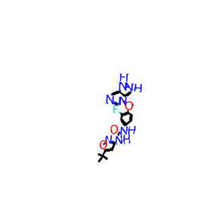 CC(C)(C)c1cc(NC(=O)Nc2ccc(ON3C=NC=C4NNC=C43)c(F)c2)no1